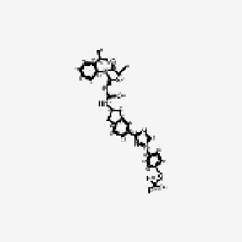 CC1SC(=NC(=O)NC2Cc3ccc(-c4ncn(-c5ccc(OC(F)(F)F)cc5)n4)cc3C2)N(c2ccccc2C(C)C)C1=O